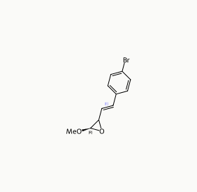 CO[C@@H]1OC1/C=C/c1ccc(Br)cc1